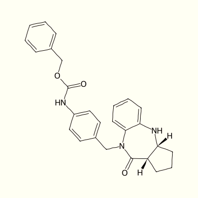 O=C(Nc1ccc(CN2C(=O)[C@H]3CCC[C@H]3Nc3ccccc32)cc1)OCc1ccccc1